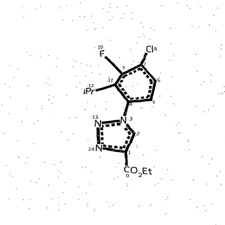 CCOC(=O)c1cn(-c2ccc(Cl)c(F)c2C(C)C)nn1